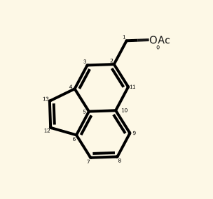 CC(=O)OCc1cc2c3c(cccc3c1)C=C2